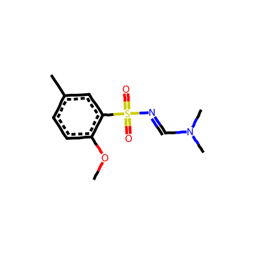 COc1ccc(C)cc1S(=O)(=O)N=CN(C)C